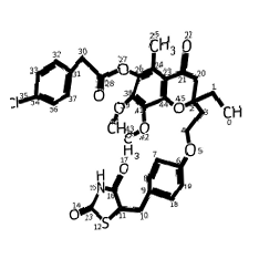 CCC1(CCOc2ccc(CC3SC(=O)NC3=O)cc2)CC(=O)c2c(C)c(OC(=O)Cc3ccc(Cl)cc3)c(OC)c(OC)c2O1